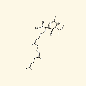 CC[C@H](C)[C@H](NC(C)=O)C(=O)N[C@@H](CSCC=C(C)CCC=C(C)CCC=C(C)C)C(=O)O